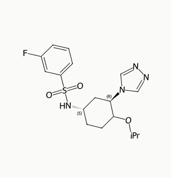 CC(C)OC1CC[C@H](NS(=O)(=O)c2cccc(F)c2)C[C@H]1n1cnnc1